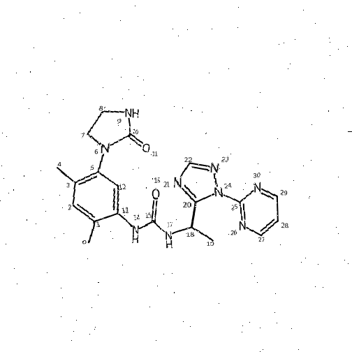 Cc1cc(C)c(N2CCNC2=O)cc1NC(=O)NC(C)c1ncnn1-c1ncccn1